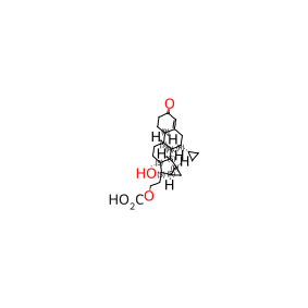 C[C@]12CC[C@H]3[C@H]([C@@H]1[C@H]1C[C@H]1[C@@]2(O)CCOC(=O)O)[C@@H](C1CC1)CC1=CC(=O)CC[C@@H]13